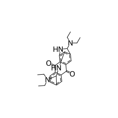 CCN(CC)C1Nc2c3cc4c(c2NC3N(CC)CC)C(=O)c2ccc1cc2C4=O